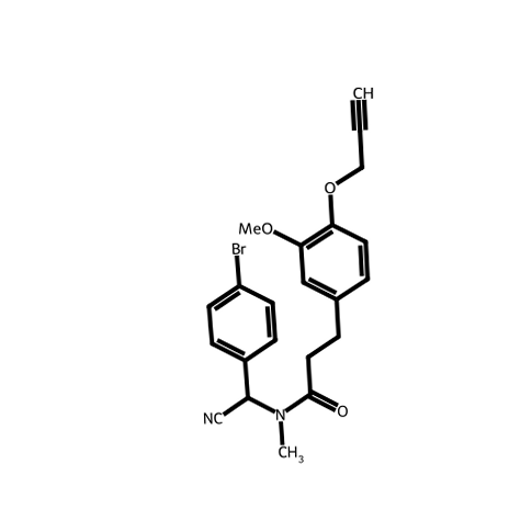 C#CCOc1ccc(CCC(=O)N(C)C(C#N)c2ccc(Br)cc2)cc1OC